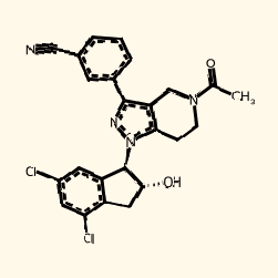 CC(=O)N1CCc2c(c(-c3cccc(C#N)c3)nn2[C@@H]2c3cc(Cl)cc(Cl)c3C[C@H]2O)C1